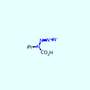 CC(C)N(N=[N+]=[N-])C(=O)O